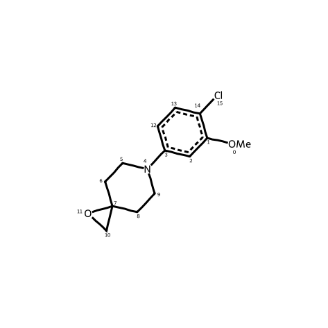 COc1cc(N2CCC3(CC2)CO3)ccc1Cl